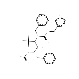 CC(C)(C)C([C@H](O)[C@H](Cc1ccccc1)NC(=O)O)N(Cc1ccccc1)C(=O)OCc1cncs1